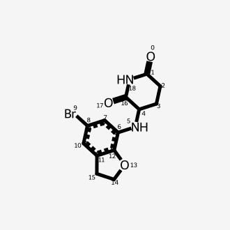 O=C1CCC(Nc2cc(Br)cc3c2OCC3)C(=O)N1